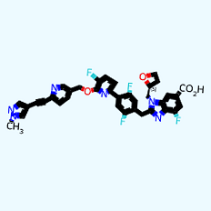 Cn1cc(C#Cc2ccc(COc3nc(-c4cc(F)c(Cc5nc6c(F)cc(C(=O)O)cc6n5C[C@@H]5CCO5)cc4F)ccc3F)cn2)cn1